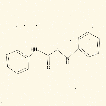 O=C([CH]Nc1ccccc1)Nc1ccccc1